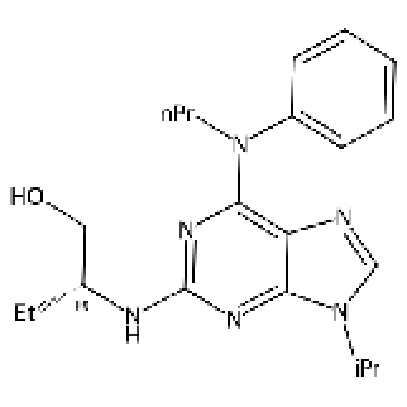 CCCN(c1ccccc1)c1nc(N[C@H](CC)CO)nc2c1ncn2C(C)C